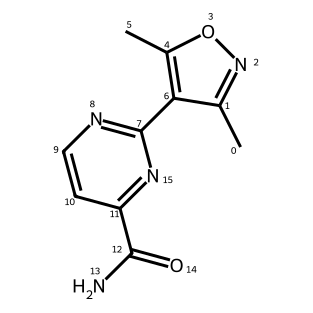 Cc1noc(C)c1-c1nccc(C(N)=O)n1